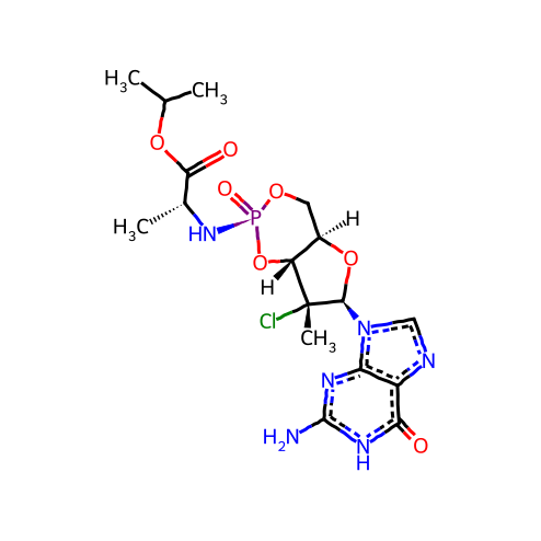 CC(C)OC(=O)[C@@H](C)N[P@@]1(=O)OC[C@H]2O[C@@H](n3cnc4c(=O)[nH]c(N)nc43)[C@](C)(Cl)[C@@H]2O1